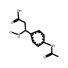 CC(=O)Nc1ccc(C(CC(=O)O)NCl)cc1